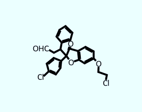 O=CCC(c1ccccc1)C1(c2ccc(Cl)cc2)Oc2cc(OCCCl)ccc2C1=O